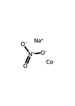 O=[N+]([O-])[O-].[Co].[Na+]